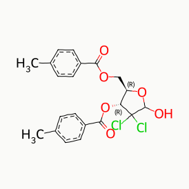 Cc1ccc(C(=O)OC[C@H]2OC(O)C(Cl)(Cl)[C@@H]2OC(=O)c2ccc(C)cc2)cc1